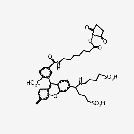 C=c1ccc2c(c1)Oc1cc(C(CCCS(=O)(=O)O)NCCCCS(=O)(=O)O)ccc1C=2c1cc(C(=O)NCCCCCCC(=O)ON2C(=O)CCC2=O)ccc1C(=O)O